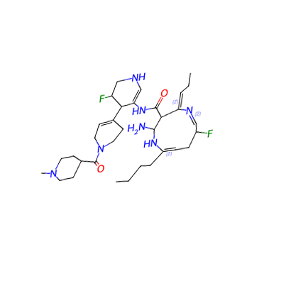 CC/C=C1\N=C/C(F)C/C=C(/CCCC)NC(N)C1C(=O)NC1=CNCC(F)C1C1=CCN(C(=O)C2CCN(C)CC2)CC1